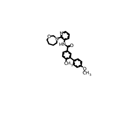 COc1ccc(-c2cc(C(=O)Nc3cccnc3N3CCCCOC3)ccc2C)cc1